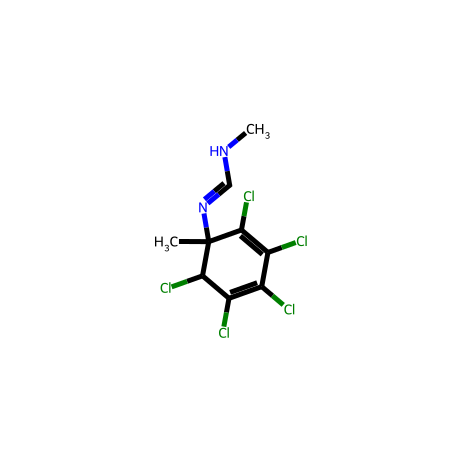 CNC=NC1(C)C(Cl)=C(Cl)C(Cl)=C(Cl)C1Cl